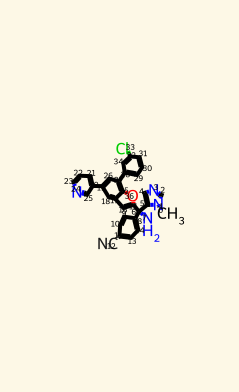 Cn1cncc1C(N)(c1ccc(C#N)cc1)c1cc2cc(-c3cccnc3)cc(-c3cccc(Cl)c3)c2o1